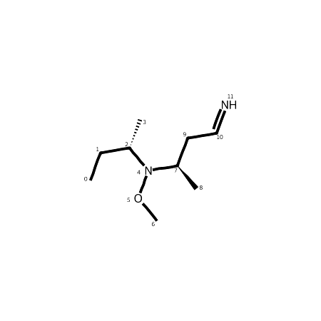 CC[C@H](C)N(OC)[C@H](C)CC=N